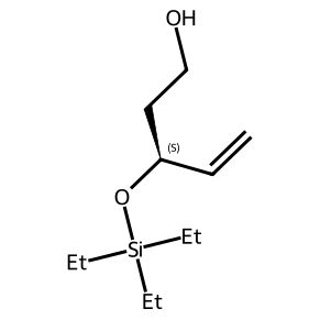 C=C[C@H](CCO)O[Si](CC)(CC)CC